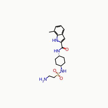 Cc1cccc2cc(C(=O)N[C@H]3CC[C@H](NS(=O)(=O)CCN)CC3)[nH]c12